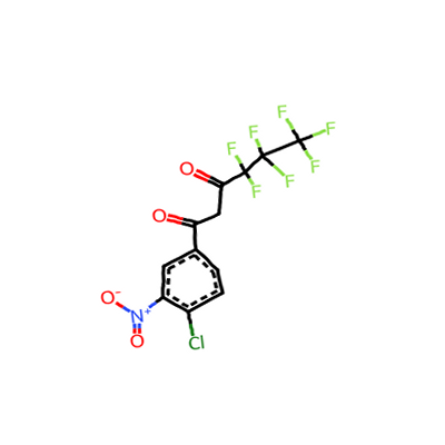 O=C(CC(=O)C(F)(F)C(F)(F)C(F)(F)F)c1ccc(Cl)c([N+](=O)[O-])c1